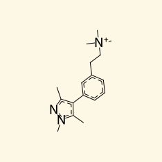 Cc1nn(C)c(C)c1-c1cccc(CC[N+](C)(C)C)c1